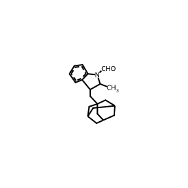 CC1C(CC23CC4CC(CC(C4)C2)C3)c2ccccc2N1C=O